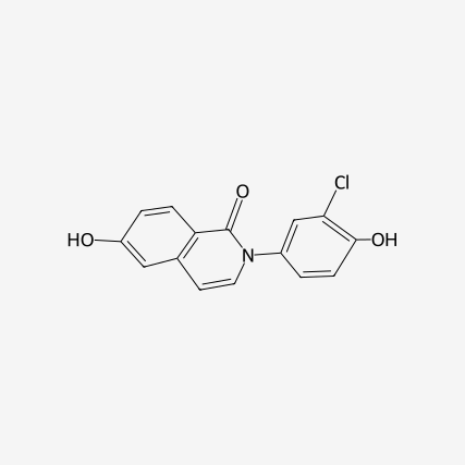 O=c1c2ccc(O)cc2ccn1-c1ccc(O)c(Cl)c1